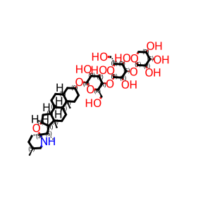 C[C@H]1CC[C@]2(NC1)O[C@H]1C[C@H]3[C@@H]4CC[C@H]5C[C@@H](O[C@@H]6O[C@H](CO)[C@H](O[C@H]7O[C@H](CO)[C@@H](O)[C@H](O[C@@H]8OC[C@@H](O)[C@H](O)[C@H]8O)[C@H]7O)[C@H](O)[C@H]6O)CC[C@]5(C)[C@H]4CC[C@]3(C)[C@H]1[C@@H]2C